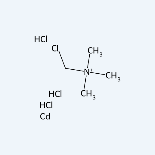 C[N+](C)(C)CCl.Cl.Cl.Cl.[Cd]